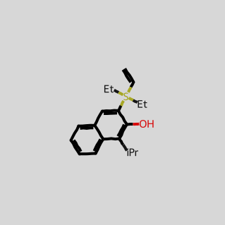 C=CS(CC)(CC)c1cc2ccccc2c(C(C)C)c1O